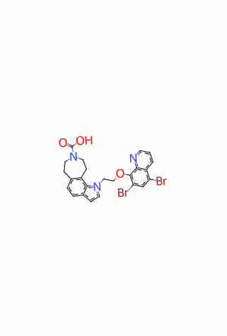 O=C(O)N1CCc2ccc3ccn(CCOc4c(Br)cc(Br)c5cccnc45)c3c2CC1